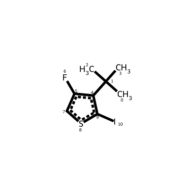 CC(C)(C)c1c(F)csc1I